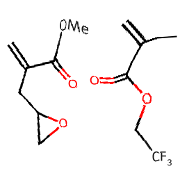 C=C(C)C(=O)OCC(F)(F)F.C=C(CC1CO1)C(=O)OC